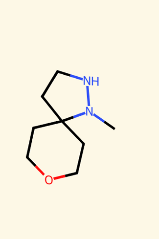 CN1NCCC12CCOCC2